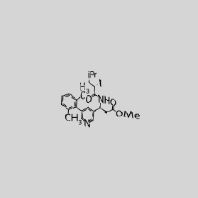 COC(=O)C[C@H](NC(=O)[C@@H](I)CC(C)C)c1cncc(-c2c(C)cccc2C)c1